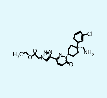 CCOC(=O)Cn1cc(-c2ccc(=O)n([C@H]3CC[C@](CN)(C4C=C(Cl)C=CC4)CC3)n2)nn1